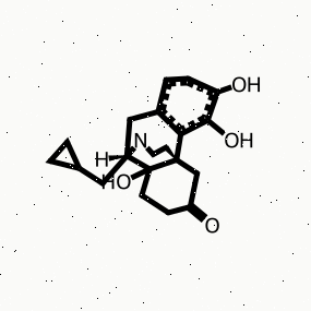 O=C1CCC2(O)[C@@H]3Cc4ccc(O)c(O)c4[C@]2(CCN3CC2CC2)C1